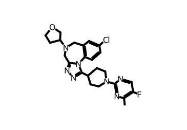 Cc1nc(N2CCC(c3nnc4n3-c3ccc(Cl)cc3CN(C3CCOC3)C4)CC2)ncc1F